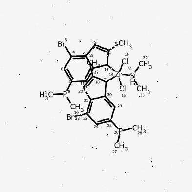 CC1=Cc2c(Br)cc(P(C)C)cc2[CH]1[Zr]([Cl])([Cl])([CH]1C(C)=Cc2c(Br)cc(P(C)C)cc21)[SiH](C)C